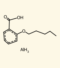 CCCCCOc1ccccc1C(=O)O.[AlH3]